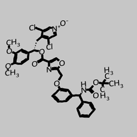 COc1ccc([C@H](Cc2c(Cl)c[n+]([O-])cc2Cl)OC(=O)c2coc(COc3cccc([C@@H](NC(=O)OC(C)(C)C)c4ccccc4)c3)n2)cc1OC